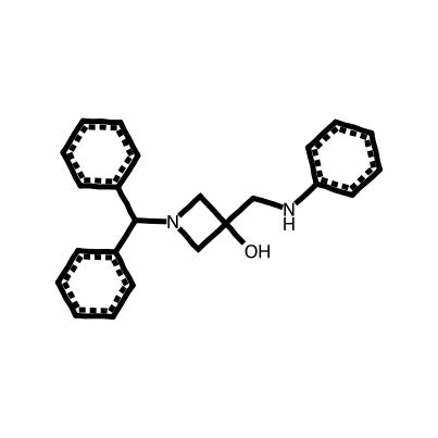 OC1(CNc2ccccc2)CN(C(c2ccccc2)c2ccccc2)C1